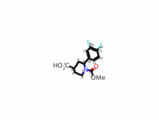 COC(=O)N1CCC(C(=O)O)CC1c1ccc(F)c(F)c1